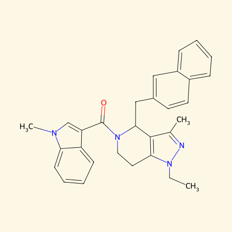 CCn1nc(C)c2c1CCN(C(=O)c1cn(C)c3ccccc13)C2Cc1ccc2ccccc2c1